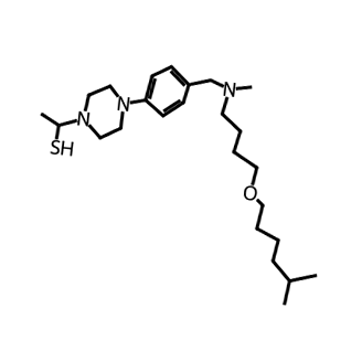 CC(C)CCCCOCCCCN(C)Cc1ccc(N2CCN(C(C)S)CC2)cc1